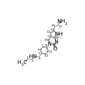 CCCNCc1ccc(-n2cc3cc(CCN)[nH]c3nc2=O)cc1